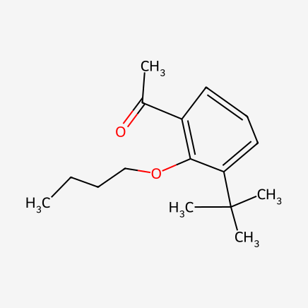 CCCCOc1c(C(C)=O)cccc1C(C)(C)C